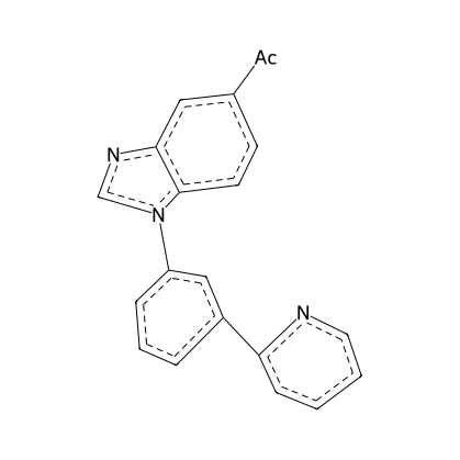 CC(=O)c1ccc2c(c1)ncn2-c1cccc(-c2ccccn2)c1